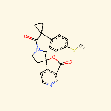 O=C1OC2(CCN(C(=O)C3(c4ccc(SC(F)(F)F)cc4)CC3)C2)c2ccncc21